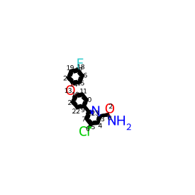 NC(=O)c1cc(Cl)cc(-c2ccc(Oc3ccc(F)cc3)cc2)n1